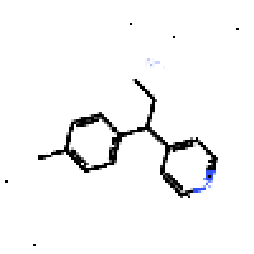 CCC(c1ccncc1)c1ccc(C)cc1.N